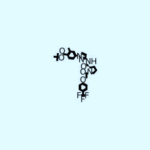 Cc1cc(-n2ccc(NC(=O)[C@H]3CCCN3C(=O)COc3ccc(C(F)(F)F)cc3)n2)ccc1C(=O)OC(C)(C)C